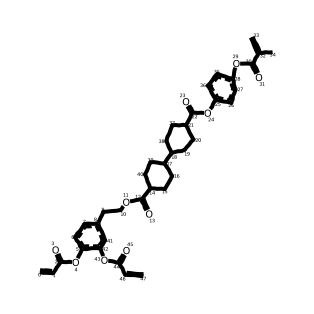 C=CC(=O)Oc1ccc(CCOC(=O)C2CCC(C3CCC(C(=O)Oc4ccc(OC(=O)C(=C)C)cc4)CC3)CC2)cc1OC(=O)C=C